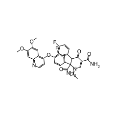 COc1cc2nccc(Oc3ccc(C4(C(N)=O)C(c5ccc(F)cc5)C(=O)C(C(N)=O)=CN4C(C)C)cc3F)c2cc1OC